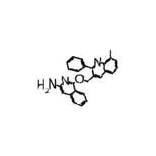 Cc1cccc2cc(COc3nc(N)cc4ccccc34)c(-c3ccccc3)nc12